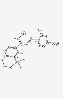 CC1(C)CCCc2ccc(C(/C=C/c3ccc(C(=O)O)cc3F)=NO)cc21